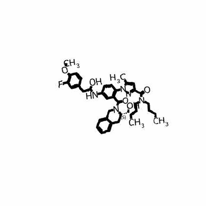 CCCCN(CCCC)C(=O)c1cc(C)n(-c2ccc(NC(O)Cc3ccc(OC)c(F)c3)cc2C(=O)N2Cc3ccccc3C[C@H]2CO)n1